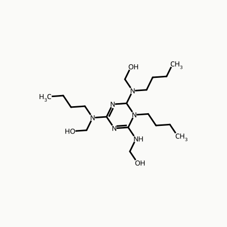 CCCCN(CO)C1=NC(N(CO)CCCC)N(CCCC)C(NCO)=N1